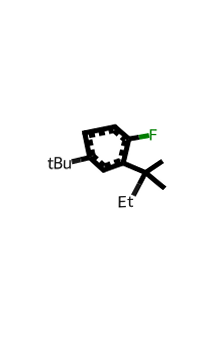 CCC(C)(C)c1cc(C(C)(C)C)ccc1F